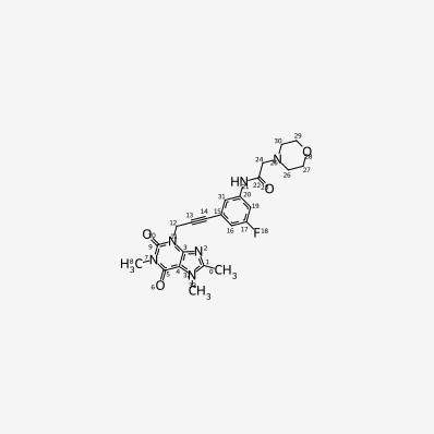 Cc1nc2c(c(=O)n(C)c(=O)n2CC#Cc2cc(F)cc(NC(=O)CN3CCOCC3)c2)n1C